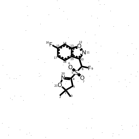 CC1(C)CC(S(=O)(=O)C(F)c2noc3cc(F)ccc23)=NO1